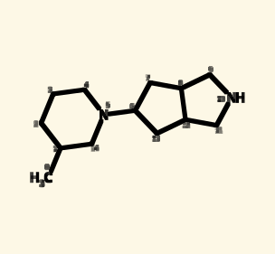 CC1CCCN(C2CC3CNCC3C2)C1